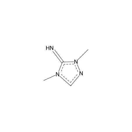 Cn1cnn(C)c1=N